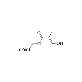 CCCCCCOC(=O)C(C)=CO